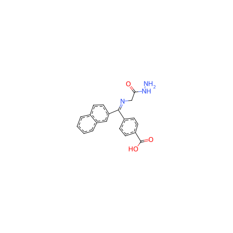 NNC(=O)CN=C(c1ccc(C(=O)O)cc1)c1ccc2ccccc2c1